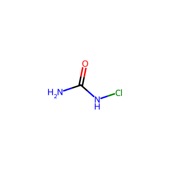 NC(=O)NCl